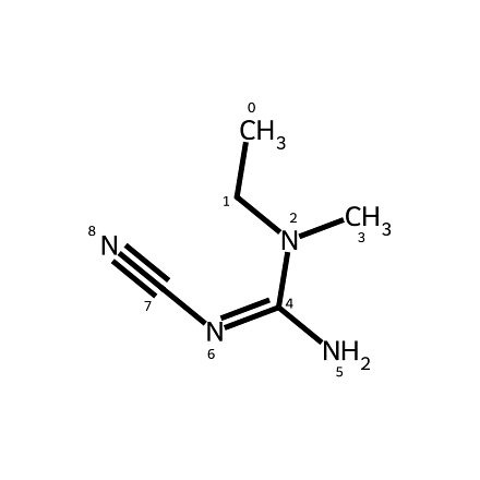 CCN(C)/C(N)=N\C#N